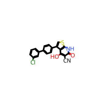 N#Cc1c(O)c2c(-c3ccc(-c4cccc(Cl)c4)cc3)csc2[nH]c1=O